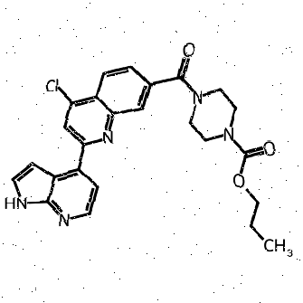 CCCOC(=O)N1CCN(C(=O)c2ccc3c(Cl)cc(-c4ccnc5[nH]ccc45)nc3c2)CC1